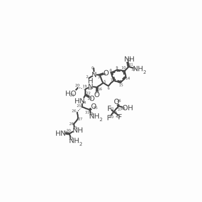 CN(C)C(=O)C(Cc1ccc(C(=N)N)cc1)C(=O)N[C@@H](CO)C(=O)N[C@@H](CCCNC(=N)N)C(N)=O.O=C(O)C(F)(F)F